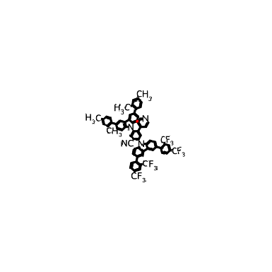 Cc1ccc(-c2ccc3c(c2)c2cc(-c4ccc(C)cc4C)ccc2n3-c2cc(C#N)c(-n3c4ccc(-c5ccc(C(F)(F)F)cc5C(F)(F)F)cc4c4cc(-c5ccc(C(F)(F)F)cc5C(F)(F)F)ccc43)cc2-c2ccncc2)c(C)c1